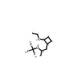 CCOC1CCC1CC(C)OC(F)(F)F